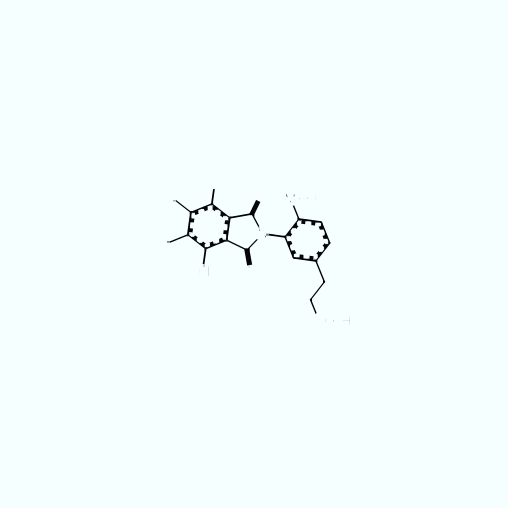 COc1ccc(CCC(=O)O)cc1N1C(=O)c2c(Cl)c(Cl)c(Cl)c(Cl)c2C1=O